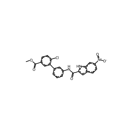 COC(=O)c1ccc(Cl)c(-c2cccc(NC(=O)c3cc4ccc([N+](=O)[O-])cc4[nH]3)c2)c1